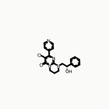 O=c1c(Cl)c(-c2ccncc2)nc2n1CCCN2C[C@@H](O)c1ccccc1